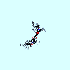 CCCCC(CC)ON1C(C)(C)CC(OC(=O)CCC(=O)OC2CC(C)(C)N(OC(CC)CCCC)C(C)(C)C2)CC1(C)C